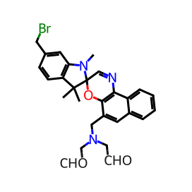 CN1c2cc(CBr)ccc2C(C)(C)C12C=Nc1c(c(CN(CC=O)CC=O)cc3ccccc13)O2